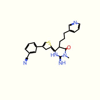 CN1C(=N)N/C(=C2\CC(c3cccc(C#N)c3)=CS2)C(CCCc2cccnc2)C1=O